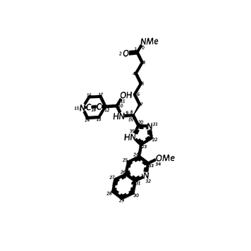 CNC(=O)CCCCC[C@H](NC(O)C12CCN(CC1)CC2)c1ncc(-c2cc3ccccc3nc2OC)[nH]1